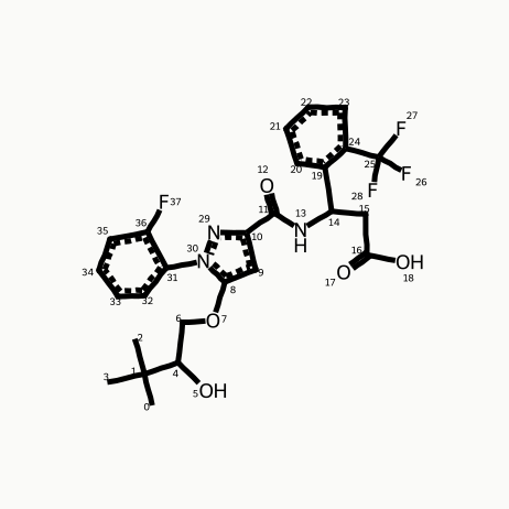 CC(C)(C)C(O)COc1cc(C(=O)NC(CC(=O)O)c2ccccc2C(F)(F)F)nn1-c1ccccc1F